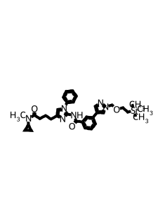 CN(C(=O)CCCc1cn(-c2ccccc2)c(NC(=O)c2cccc(-c3cnn(COCC[Si](C)(C)C)c3)c2)n1)C1CC1